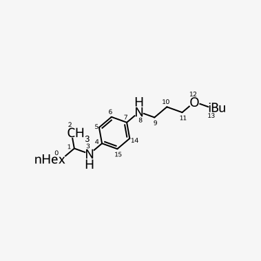 CCCCCCC(C)Nc1ccc(NCCCOC(C)CC)cc1